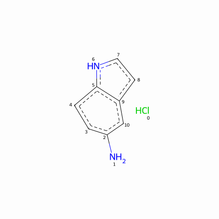 Cl.Nc1ccc2[nH]ccc2c1